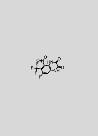 O=c1[nH]c2cc(F)c(C(F)(F)F)c([N+](=O)[O-])c2[nH]c1=O